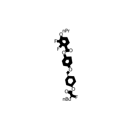 CCCC[C@H](F)C(=O)O[C@H]1CC[C@H](COc2ccc(OC(=O)c3ccc(OCCC)c(F)c3F)cc2)CC1